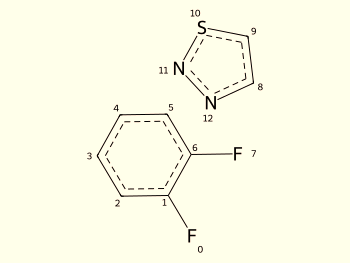 Fc1ccccc1F.c1csnn1